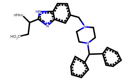 CCCCCCC(CC(=O)O)c1nc2cc(CN3CCN(C(c4ccccc4)c4ccccc4)CC3)ccc2[nH]1